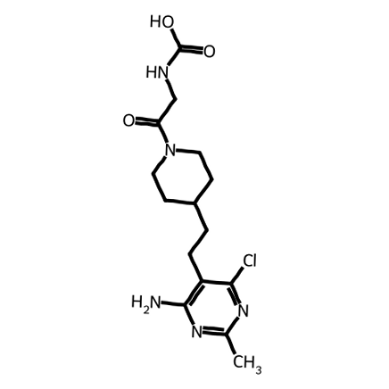 Cc1nc(N)c(CCC2CCN(C(=O)CNC(=O)O)CC2)c(Cl)n1